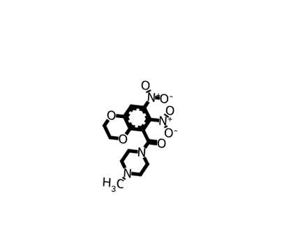 CN1CCN(C(=O)c2c3c(cc([N+](=O)[O-])c2[N+](=O)[O-])OCCO3)CC1